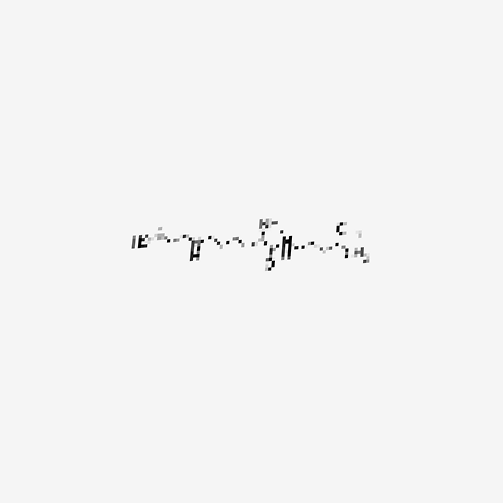 CC(C)CCCNC(=O)[C@H](N)CCCCNCCSS